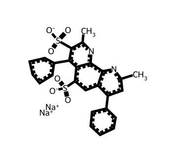 Cc1cc(-c2ccccc2)c2cc(S(=O)(=O)[O-])c3c(-c4ccccc4)c(S(=O)(=O)[O-])c(C)nc3c2n1.[Na+].[Na+]